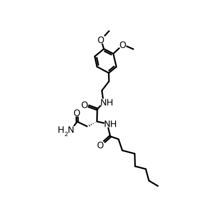 CCCCCCCC(=O)N[C@H](CC(N)=O)C(=O)NCCc1ccc(OC)c(OC)c1